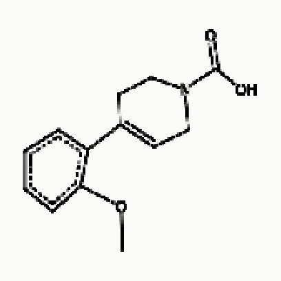 COc1ccccc1C1=CCN(C(=O)O)CC1